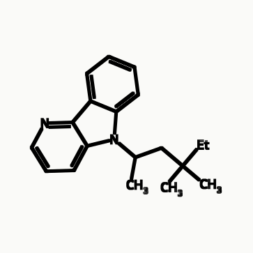 CCC(C)(C)CC(C)n1c2ccccc2c2ncccc21